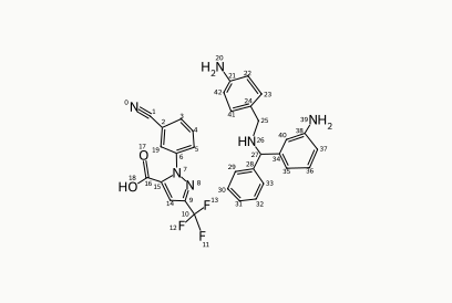 N#Cc1cccc(-n2nc(C(F)(F)F)cc2C(=O)O)c1.Nc1ccc(CNC(c2ccccc2)c2cccc(N)c2)cc1